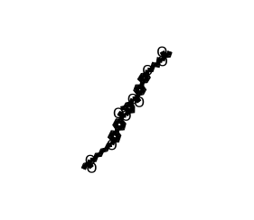 C=CC(=O)OCCCCCCOc1ccc(-c2ccc(C(=O)Oc3ccc(OC(=O)c4ccc(-c5ccc(OCCCCOC(=O)C=C)cc5)cc4)cc3C)cc2)cc1